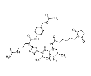 CC(=O)OCc1ccc(NC(=O)[C@H](CCCNC(N)=O)n2cc([C@@H](NC(=O)[C@H](CC(C)C)NC(=O)CCCCCN3C(=O)CCC3=O)C(C)C)nn2)cc1